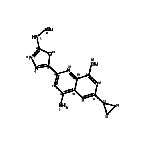 CCCCNc1nnc(-c2cc(N)c3cc(C4CC4)cc(C(C)(C)C)c3n2)o1